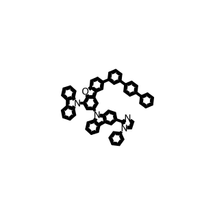 c1ccc(-c2ccc(-c3cccc(-c4ccc5oc6c(-n7c8ccccc8c8ccccc87)cc(-n7c8ccccc8c8cc(-c9nccn9-c9ccccc9)ccc87)cc6c5c4)c3)cc2)cc1